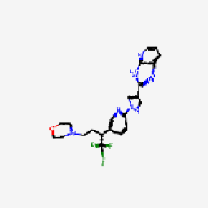 FC(F)(F)C(CCN1CCOCC1)c1ccc(-n2cc(-c3nc4cccnc4[nH]3)cn2)nc1